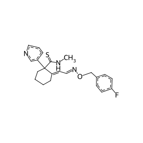 CNC(=S)C1(c2cccnc2)CCCCC1=CC=NOCc1ccc(F)cc1